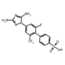 CCCS(=O)(=O)c1ccc(-c2c(F)cc(-n3nc(N)nc3N)cc2C(F)(F)F)cc1